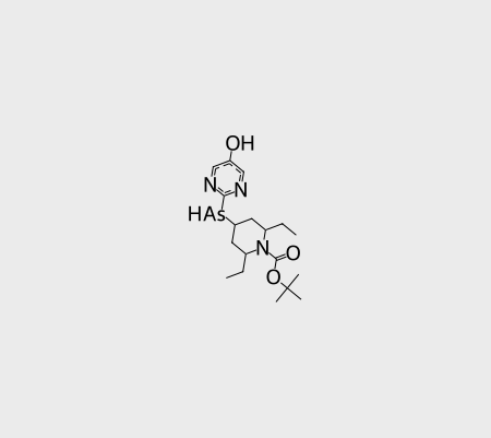 CCC1CC([AsH]c2ncc(O)cn2)CC(CC)N1C(=O)OC(C)(C)C